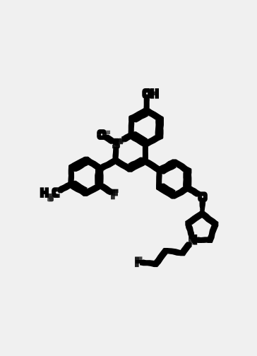 Cc1ccc(C2C=C(c3ccc(O[C@H]4CCN(CCCF)C4)cc3)c3ccc(O)cc3[S+]2[O-])c(F)c1